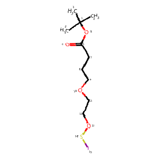 CC(C)(C)OC(=O)CCCOCCOSI